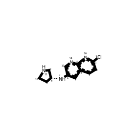 Clc1ccc2cc(N[C@@H]3CCNC3)cnc2n1